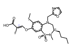 CCCC[C@@H]1CN(Cc2ncco2)c2cc(SC)c(O/C=C(\F)C(=O)O)cc2S(=O)(=O)N1C